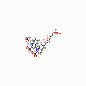 CC(C)[O-].CC(C)[O-].CC(O)CCCCO.O=C([O-])c1ccc2ccccc2n1.O=C([O-])c1ccc2ccccc2n1.[Ti+4]